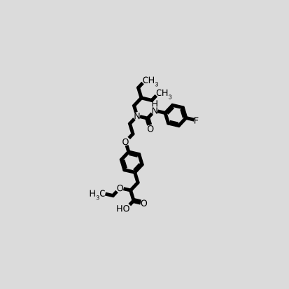 CCOC(Cc1ccc(OCCN(CC(CC)CC)C(=O)Nc2ccc(F)cc2)cc1)C(=O)O